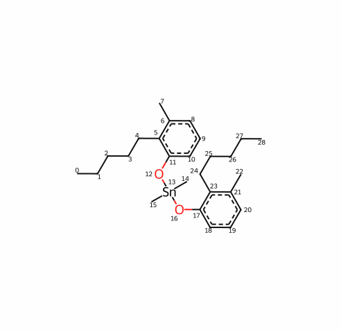 CCCCCc1c(C)cccc1[O][Sn]([CH3])([CH3])[O]c1cccc(C)c1CCCCC